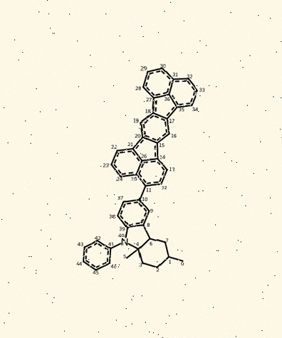 CC1CCC2(C)C(C1)c1cc(-c3ccc4c5cc6c(cc5c5cccc3c54)c3cccc4cccc6c43)ccc1N2c1ccccc1